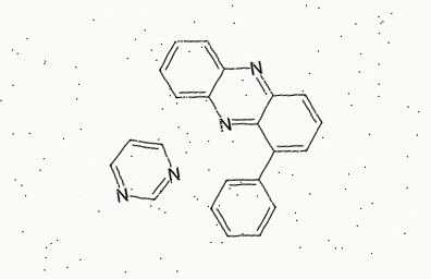 c1ccc(-c2cccc3nc4ccccc4nc23)cc1.c1cncnc1